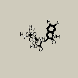 CC(C)(C)OC(=O)N[C@@H](Cc1cc2cc(F)c(F)cc2[nH]c1=O)C(=O)O